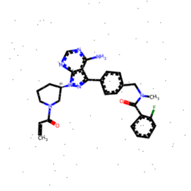 C=CC(=O)N1CCC[C@@H](n2nc(-c3ccc(CN(C)C(=O)c4ccccc4F)cc3)c3c(N)ncnc32)C1